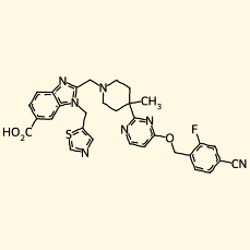 CC1(c2nccc(OCc3ccc(C#N)cc3F)n2)CCN(Cc2nc3ccc(C(=O)O)cc3n2Cc2cncs2)CC1